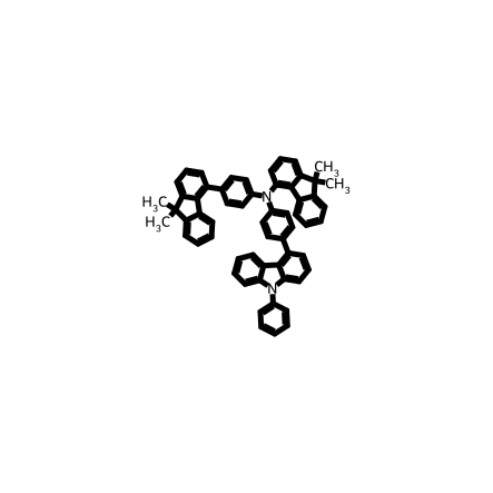 CC1(C)c2ccccc2-c2c(-c3ccc(N(c4ccc(-c5cccc6c5c5ccccc5n6-c5ccccc5)cc4)c4cccc5c4-c4ccccc4C5(C)C)cc3)cccc21